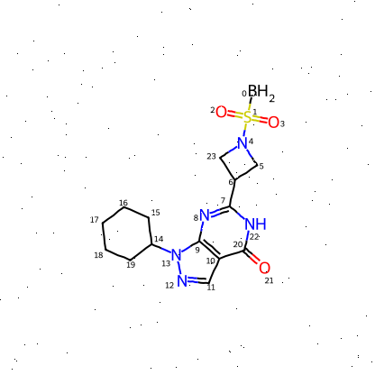 BS(=O)(=O)N1CC(c2nc3c(cnn3C3CCCCC3)c(=O)[nH]2)C1